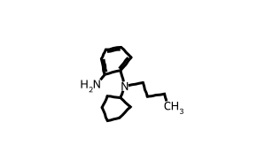 CCCCN(c1ccccc1N)C1CCCCC1